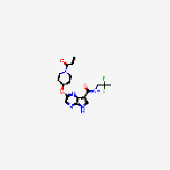 C=CC(=O)N1CCC(Oc2cnc3[nH]cc(C(=O)NCC(C)(F)F)c3n2)CC1